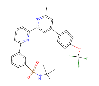 Cc1cc(-c2ccc(OC(F)(F)F)cc2)cc(-c2cccc(-c3cccc(S(=O)(=O)NC(C)(C)C)c3)n2)n1